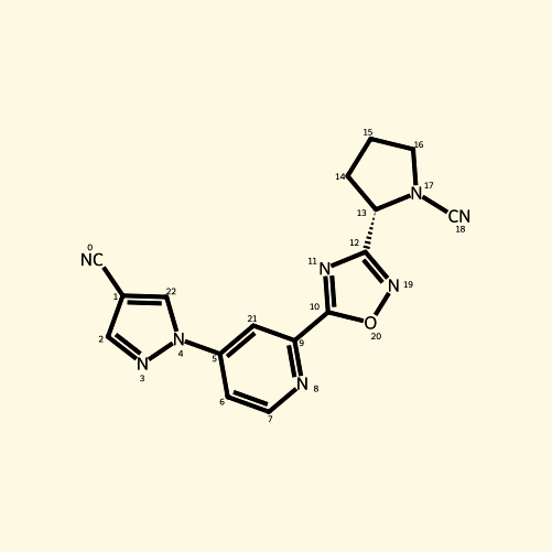 N#Cc1cnn(-c2ccnc(-c3nc([C@@H]4CCCN4C#N)no3)c2)c1